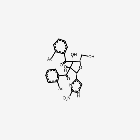 CC(=O)c1ccccc1C(=O)[C@@]1(O)[C@@H](CO)O[C@@H](c2c[nH]c([N+](=O)[O-])n2)[C@]1(O)C(=O)c1ccccc1C(C)=O